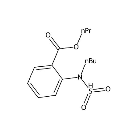 CCCCN(c1ccccc1C(=O)OCCC)[SH](=O)=O